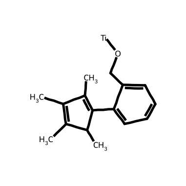 CC1=C(C)C(C)C(c2ccccc2C[O][Ti])=C1C